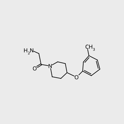 Cc1cccc(OC2CCN(C(=O)CN)CC2)c1